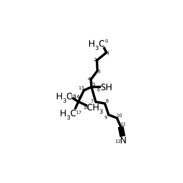 CCCCCC(S)(CCCCC#N)CC(C)(C)C